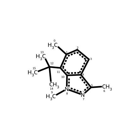 Cc1ccc2c(C)nn(C)c2c1C(C)(C)C